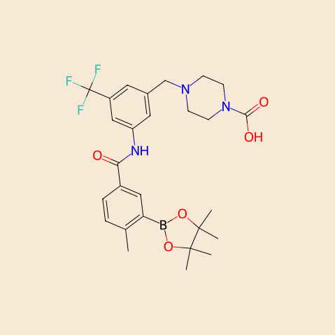 Cc1ccc(C(=O)Nc2cc(CN3CCN(C(=O)O)CC3)cc(C(F)(F)F)c2)cc1B1OC(C)(C)C(C)(C)O1